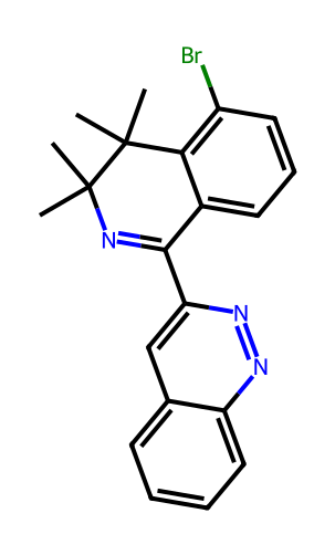 CC1(C)N=C(c2cc3ccccc3nn2)c2cccc(Br)c2C1(C)C